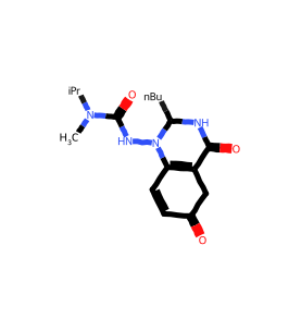 CCCCC1NC(=O)C2=C(C=CC(=O)C2)N1NC(=O)N(C)C(C)C